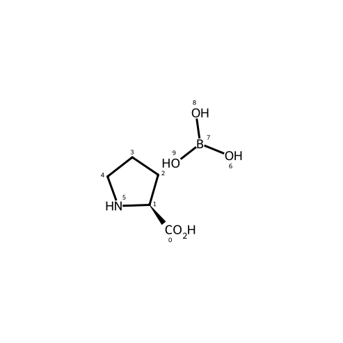 O=C(O)[C@@H]1CCCN1.OB(O)O